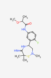 COC(C)C(=O)Nc1ccc(F)c(C2CN(C)SC(C)(C)C(=N)N2)c1